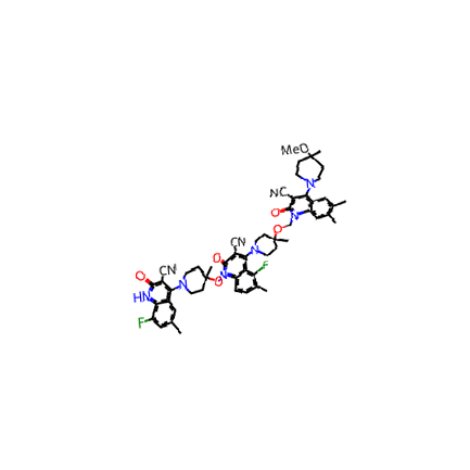 COC1(C)CCN(c2c(C#N)c(=O)n(COC3(C)CCN(c4c(C#N)c(=O)n(OC5(C)CCN(c6c(C#N)c(=O)[nH]c7c(F)cc(C)cc67)CC5)c5ccc(C)c(F)c45)CC3)c3cc(C)c(C)cc23)CC1